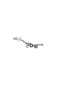 O=C(O)CCCCCNC(=O)c1ccc(-n2cc(CCCF)nn2)cc1